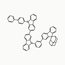 c1ccc(-c2ccc(-n3c4ccccc4c4ccc(-c5ccc6c7ccccc7n(-c7cccc(-c8ccc9c(c8)C8(c%10ccccc%10-9)C9CC%10CC(C9)CC8C%10)c7)c6c5)cc43)cc2)cc1